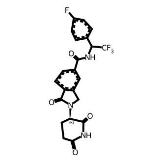 O=C1CC[C@@H](N2Cc3cc(C(=O)NC(c4ccc(F)cc4)C(F)(F)F)ccc3C2=O)C(=O)N1